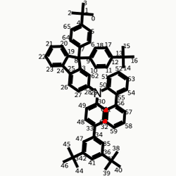 CC(C)(C)c1ccc(C2(c3ccc(C(C)(C)C)cc3)c3ccccc3-c3ccc(N(c4ccc(-c5cc(C(C)(C)C)cc(C(C)(C)C)c5)cc4)c4ccccc4-c4ccccc4)cc32)cc1